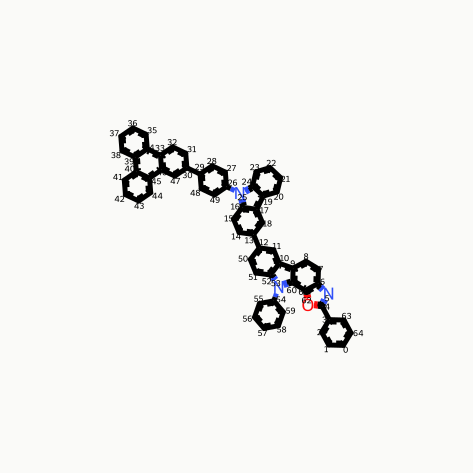 c1ccc(-c2nc3ccc4c5cc(-c6ccc7c(c6)c6ccccc6n7-c6ccc(-c7ccc8c9ccccc9c9ccccc9c8c7)cc6)ccc5n(-c5ccccc5)c4c3o2)cc1